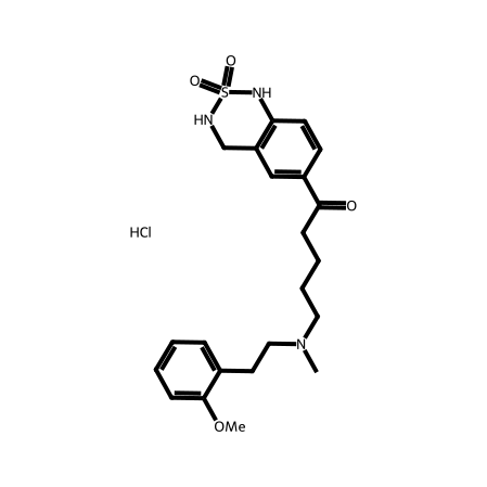 COc1ccccc1CCN(C)CCCCC(=O)c1ccc2c(c1)CNS(=O)(=O)N2.Cl